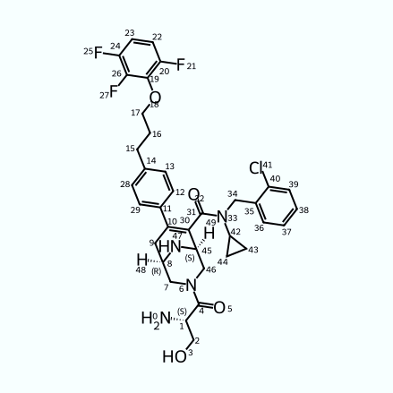 N[C@@H](CO)C(=O)N1C[C@H]2CC(c3ccc(CCCOc4c(F)ccc(F)c4F)cc3)=C(C(=O)N(Cc3ccccc3Cl)C3CC3)[C@@H](C1)N2